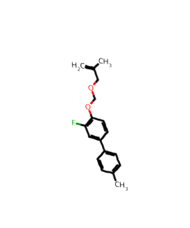 C=C(C)COCOc1ccc(-c2ccc(C)cc2)cc1F